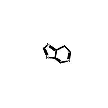 C1=NC=C2N=CN=C2C1